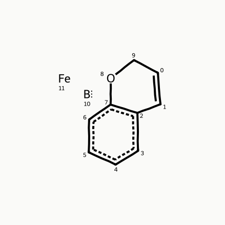 C1=Cc2ccccc2OC1.[B].[Fe]